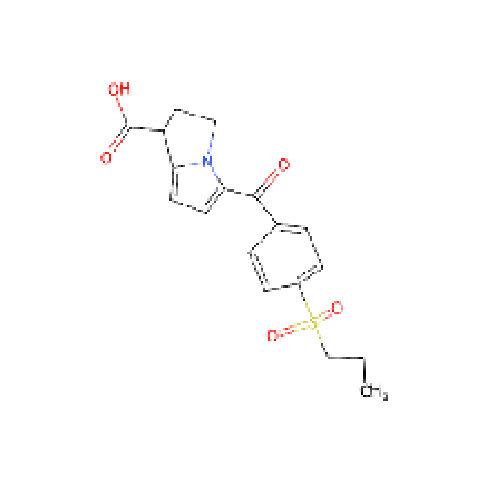 CCCS(=O)(=O)c1ccc(C(=O)c2ccc3n2CCC3C(=O)O)cc1